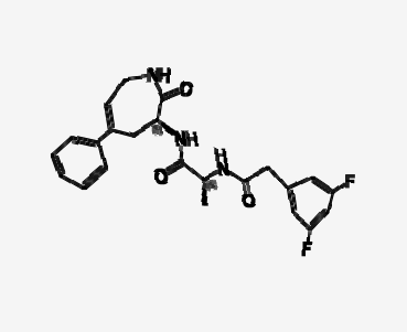 C[C@H](NC(=O)Cc1cc(F)cc(F)c1)C(=O)N[C@H]1CC(c2ccccc2)=CCNC1=O